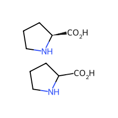 O=C(O)C1CCCN1.O=C(O)[C@@H]1CCCN1